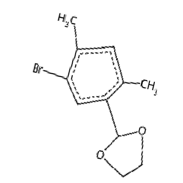 Cc1cc(C)c(C2OCCO2)cc1Br